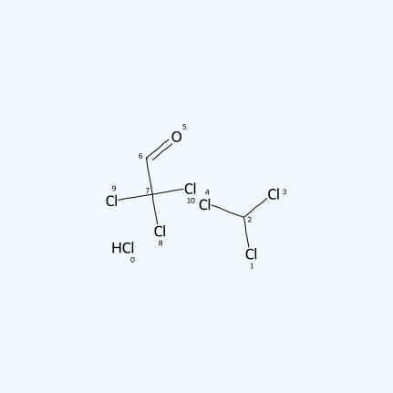 Cl.ClC(Cl)Cl.O=CC(Cl)(Cl)Cl